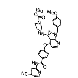 COc1ccc(Cn2nc(NC3CCN(C(=O)OC(C)(C)C)C3)c3c(Oc4ccc(C(=O)Nc5cc(C#N)ccn5)cc4)ccnc32)cc1